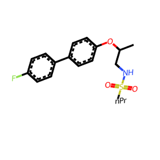 CCCS(=O)(=O)NCC(C)Oc1ccc(-c2ccc(F)cc2)cc1